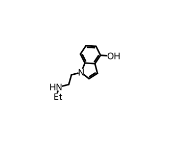 CCNCCn1ccc2c(O)cccc21